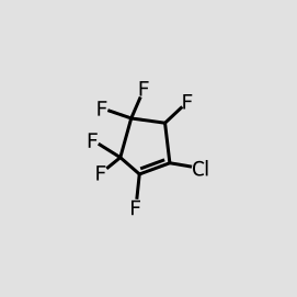 FC1=C(Cl)C(F)C(F)(F)C1(F)F